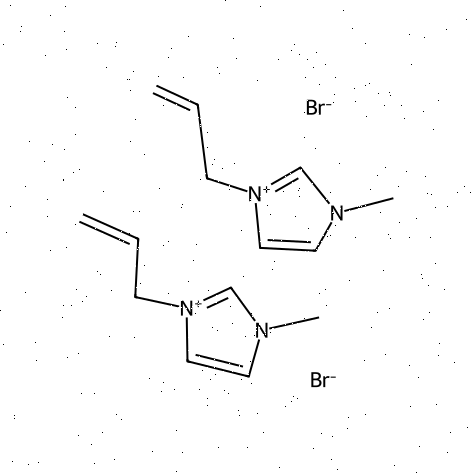 C=CC[n+]1ccn(C)c1.C=CC[n+]1ccn(C)c1.[Br-].[Br-]